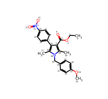 CCOC(=O)c1c(-c2ccc([N+](=O)[O-])cc2)c(C)n(Cc2ccc(OC)cc2)c1C